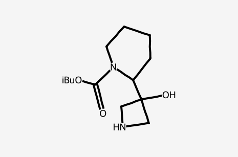 CC(C)COC(=O)N1CCCCC1C1(O)CNC1